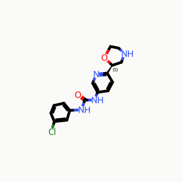 O=C(Nc1ccc([C@@H]2CNCCO2)nc1)Nc1cccc(Cl)c1